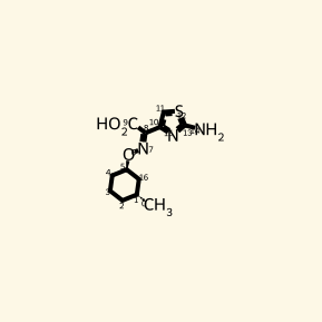 C[C@@H]1CCC[C@@H](O/N=C(\C(=O)O)c2csc(N)n2)C1